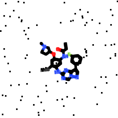 C=CC(=O)Nc1cc(Nc2ncn3ncc(-c4cccc(F)c4)c3n2)c(OC)cc1OC1CCN(C)C1